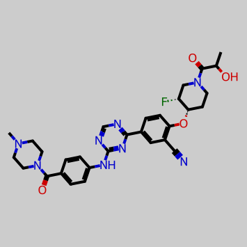 CC(O)C(=O)N1CC[C@H](Oc2ccc(-c3ncnc(Nc4ccc(C(=O)N5CCN(C)CC5)cc4)n3)cc2C#N)[C@H](F)C1